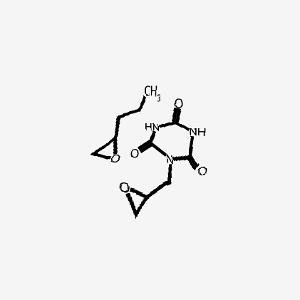 CCCC1CO1.O=c1[nH]c(=O)n(CC2CO2)c(=O)[nH]1